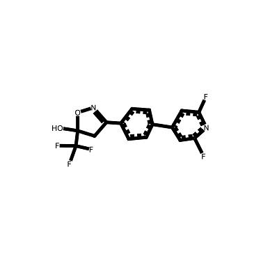 OC1(C(F)(F)F)CC(c2ccc(-c3cc(F)nc(F)c3)cc2)=NO1